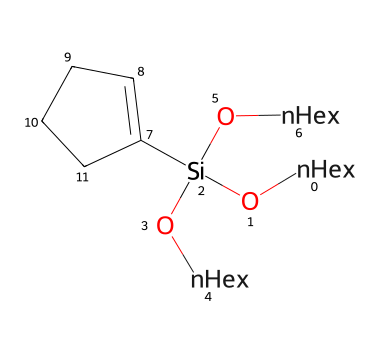 CCCCCCO[Si](OCCCCCC)(OCCCCCC)C1=CCCC1